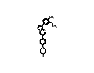 NSc1cc(-c2cnn3cc(-c4ccc(N5CCNCC5)cc4)cnc23)ccc1N